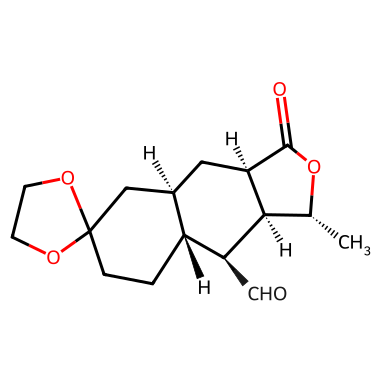 C[C@H]1OC(=O)[C@@H]2C[C@@H]3CC4(CC[C@H]3[C@H](C=O)[C@H]12)OCCO4